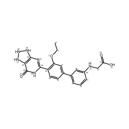 CCOc1cc(-c2cccc(NCC(=O)O)c2)ccc1-c1nc2c(c(=O)[nH]1)NNN2